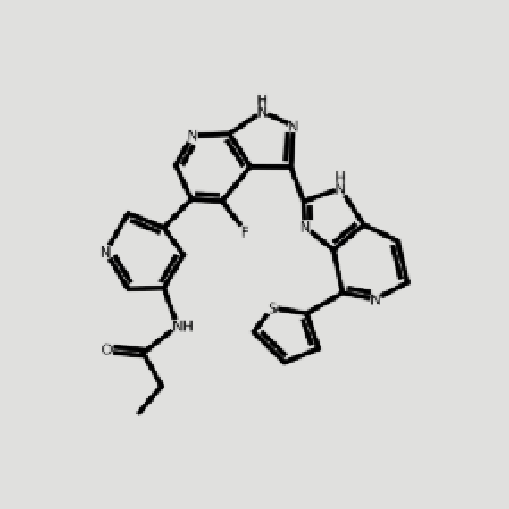 CCC(=O)Nc1cncc(-c2cnc3[nH]nc(-c4nc5c(-c6cccs6)nccc5[nH]4)c3c2F)c1